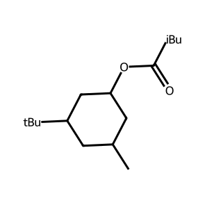 CCC(C)C(=O)OC1CC(C)CC(C(C)(C)C)C1